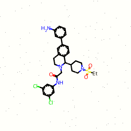 CCS(=O)(=O)N1CCC(C2c3ccc(-c4cccc(N)c4)cc3CCN2CC(=O)Nc2cc(Cl)cc(Cl)c2)CC1